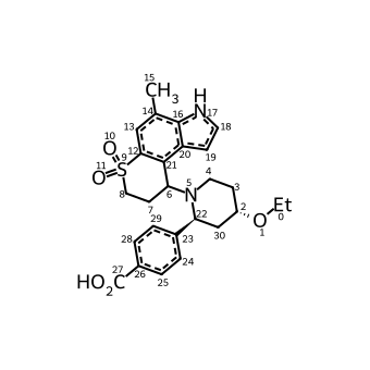 CCO[C@H]1CCN(C2CCS(=O)(=O)c3cc(C)c4[nH]ccc4c32)[C@H](c2ccc(C(=O)O)cc2)C1